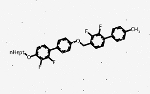 CCCCCCCOc1ccc(-c2ccc(OCc3ccc(-c4ccc(C)cc4)c(F)c3F)cc2)c(F)c1F